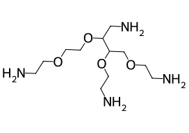 NCCOCCOC(CN)C(COCCN)OCCN